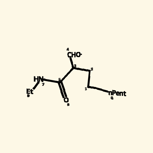 CCCCCCCC([C]=O)C(=O)NCC